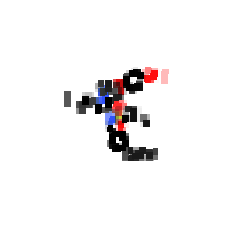 COc1ccc(CN([C@H]2C[C@@H](C)N(C(=O)O)[C@H]2COC2CCC(O)CC2)S(C)(=O)=O)cc1